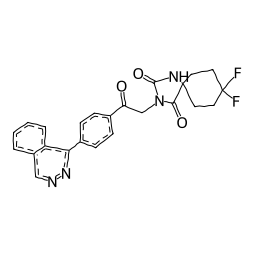 O=C(CN1C(=O)NC2(CCC(F)(F)CC2)C1=O)c1ccc(-c2nncc3ccccc23)cc1